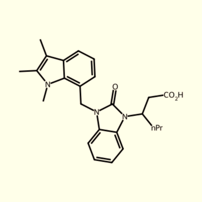 CCCC(CC(=O)O)n1c(=O)n(Cc2cccc3c(C)c(C)n(C)c23)c2ccccc21